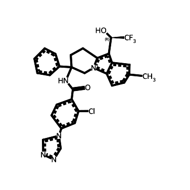 Cc1ccc2c(c1)c([C@@H](O)C(F)(F)F)c1n2CC(NC(=O)c2ccc(-n3cnnc3)cc2Cl)(c2ccccc2)CC1